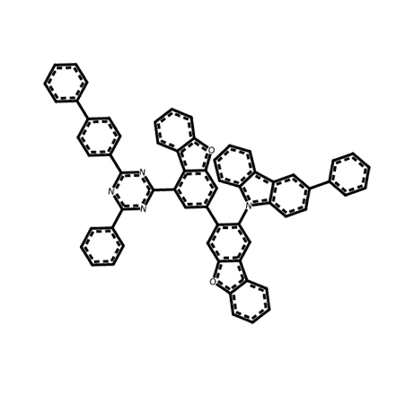 c1ccc(-c2ccc(-c3nc(-c4ccccc4)nc(-c4cc(-c5cc6oc7ccccc7c6cc5-n5c6ccccc6c6cc(-c7ccccc7)ccc65)cc5oc6ccccc6c45)n3)cc2)cc1